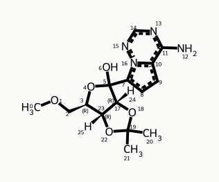 COC[C@H]1OC(O)(c2ccc3c(N)ncnn23)[C@@H]2OC(C)(C)O[C@@H]21